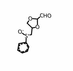 O=CC1OCC(C[S+]([O-])c2ccccc2)O1